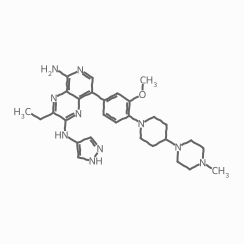 CCc1nc2c(N)ncc(-c3ccc(N4CCC(N5CCN(C)CC5)CC4)c(OC)c3)c2nc1Nc1cn[nH]c1